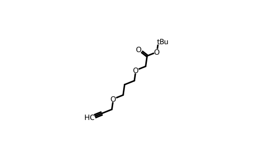 C#CCOCCCOCC(=O)OC(C)(C)C